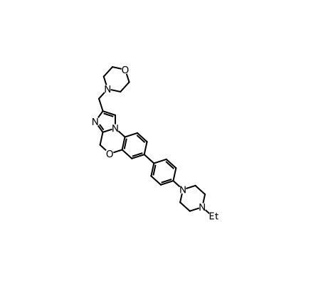 CCN1CCN(c2ccc(-c3ccc4c(c3)OCc3nc(CN5CCOCC5)cn3-4)cc2)CC1